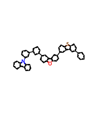 c1ccc(-c2ccc3sc4ccc(-c5ccc6oc7ccc(-c8cccc(-c9cccc(-n%10c%11ccccc%11c%11ccccc%11%10)c9)c8)cc7c6c5)cc4c3c2)cc1